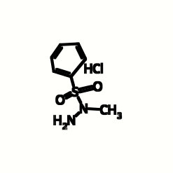 CN(N)S(=O)(=O)c1ccccc1.Cl